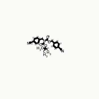 CC(C)(C)OC(=O)N(Cc1ccc(C#N)cc1)C(=O)OCc1ccc(C#N)cc1